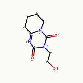 O=c1nc2n(c(=O)n1CCO)CCCC2